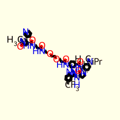 CC(C)N(C)[C@@H]1CC[C@H](N2CC[C@H](Nc3ncnc4ccc(C(F)(F)F)cc34)C2=O)[C@H](NC(=O)C2CCC(NC(=O)CCOCCOCCNC(=O)CCNC(=O)[C@H]3CC(=O)N(C)[C@@H]3c3cccnc3)CC2)C1